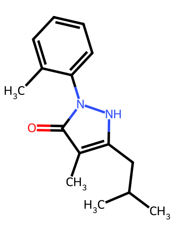 Cc1ccccc1-n1[nH]c(CC(C)C)c(C)c1=O